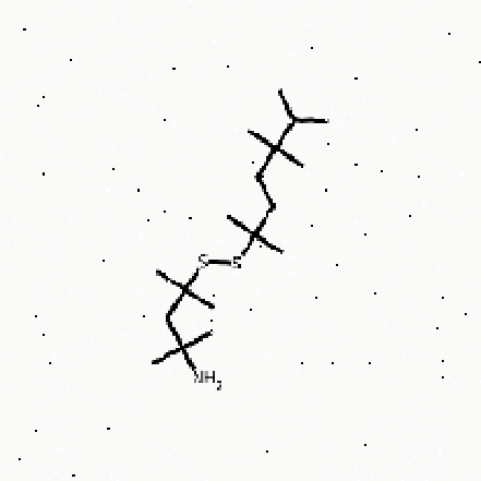 CC(C)C(C)(C)CCC(C)(C)SSC(C)(C)CC(C)(C)N